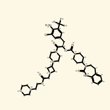 Nc1c(Cl)cc(C[C@@H](OC(=O)N2CCC(N3CCc4ccccc4NC3=O)CC2)C(=O)N2CCN(C3CN(CC(=O)OCCN4CCOCC4)C3)CC2)cc1C(F)(F)F